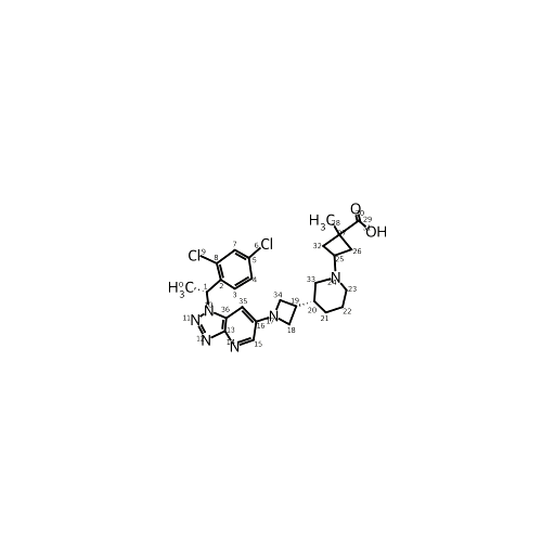 C[C@H](c1ccc(Cl)cc1Cl)n1nnc2ncc(N3CC([C@H]4CCCN(C5CC(C)(C(=O)O)C5)C4)C3)cc21